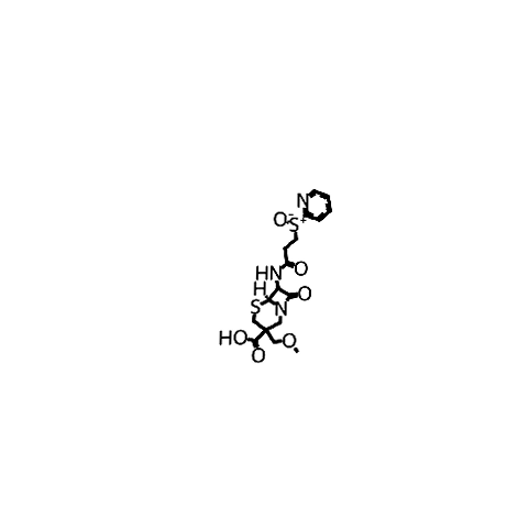 COCC1(C(=O)O)CS[C@@H]2C(NC(=O)CC[S+]([O-])c3ccccn3)C(=O)N2C1